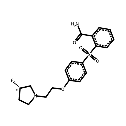 NC(=O)c1ccccc1S(=O)(=O)c1ccc(OCCN2CC[C@H](F)C2)cc1